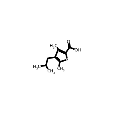 Cc1sc(C(=O)O)c(C)c1CC(C)C